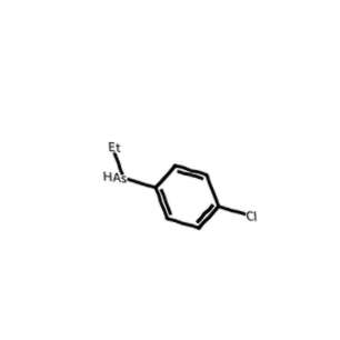 CC[AsH]c1ccc(Cl)cc1